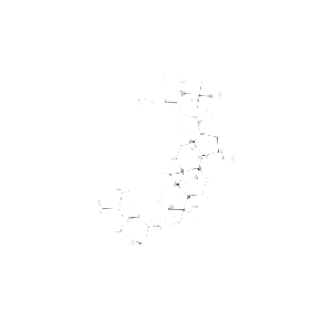 COC(C[C@@H](C)C1C[C@H](O)[C@@]2(C)[C@@H]3CC[C@H]4C(C)(C)[C@@H](OC5CN(C(CO)CO)CCO5)CC[C@@]45CC35CC[C@]12C)[C@H](OC(C)=O)C(C)(C)O